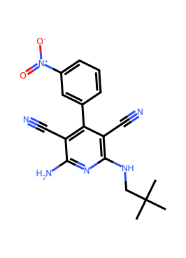 CC(C)(C)CNc1nc(N)c(C#N)c(-c2cccc([N+](=O)[O-])c2)c1C#N